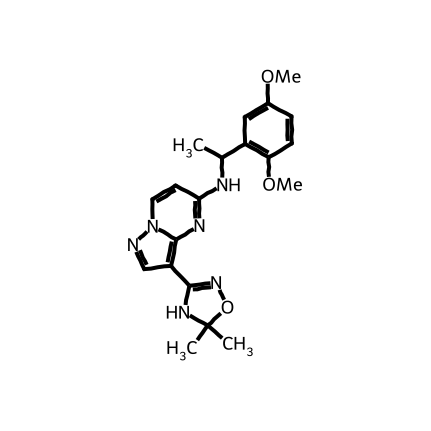 COc1ccc(OC)c(C(C)Nc2ccn3ncc(C4=NOC(C)(C)N4)c3n2)c1